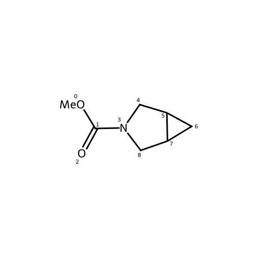 COC(=O)N1CC2CC2C1